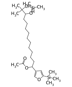 CC(=O)OC(CCCCCCCCCCC(O[SiH](C)C)C(C)(C)C)c1coc([Si](C)(C)C)c1